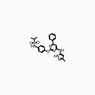 Cc1cc(Nc2cc(-c3ccccc3)nc(Sc3ccc(NS(=O)(=O)C(C)C)cc3)n2)[nH]n1